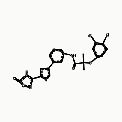 CC(C)(Oc1ccc(Cl)c(Cl)c1)C(=O)Nc1cccc(-c2csc(-c3noc(=O)[nH]3)c2)c1